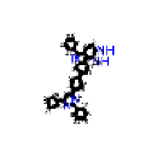 N=C1C=Cc2c(-c3ccccc3)nc3cc(-c4ccc(-c5cc(-c6ccccc6)nc(-c6ccccc6)n5)cc4)ccc3c2C1=N